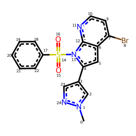 Cn1cc(-c2cc3c(Br)ccnc3n2S(=O)(=O)c2ccccc2)cn1